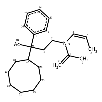 C=C(C)N(/C=C\C)CCC(C(C)=O)(c1ccccc1)C1CCCCCCC1